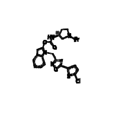 CC(C)N1CC[C@H](NC(=O)Oc2cc3ccccc3n2Cc2cc(-c3ccc(Cl)s3)on2)C1